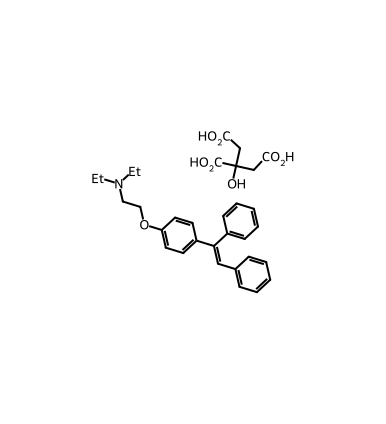 CCN(CC)CCOc1ccc(C(=Cc2ccccc2)c2ccccc2)cc1.O=C(O)CC(O)(CC(=O)O)C(=O)O